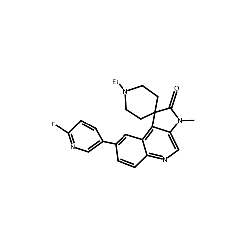 CCN1CCC2(CC1)C(=O)N(C)c1cnc3ccc(-c4ccc(F)nc4)cc3c12